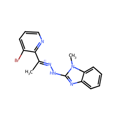 C/C(=N\Nc1nc2ccccc2n1C)c1ncccc1Br